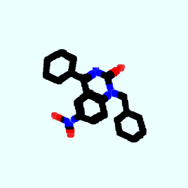 O=c1nc(C2CCCCC2)c2cc([N+](=O)[O-])ccc2n1CC1CCCCC1